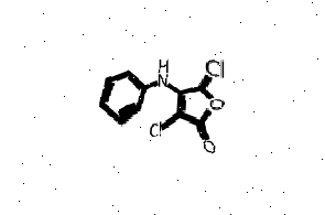 O=C1OC(Cl)C(Nc2ccccc2)=C1Cl